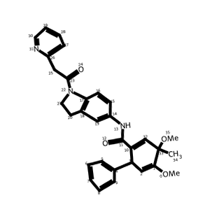 COC1=CC(c2ccccc2)C(C(=O)Nc2ccc3c(c2)CCN3C(=O)Cc2ccccn2)=CC1(C)OC